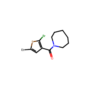 CCc1cc(C(=O)N2CCCCCC2)c(Br)s1